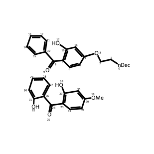 CCCCCCCCCCCCOc1ccc(C(=O)c2ccccc2)c(O)c1.COc1ccc(C(=O)c2ccccc2O)c(O)c1